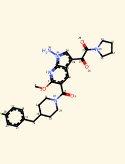 COc1nc2c(cc1C(=O)N1CCC(Cc3ccc(F)cc3)CC1)c(C(=O)C(=O)N1CCCC1)cn2N